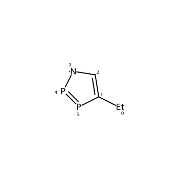 CCC1=C[N]P=P1